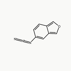 [N-]=[N+]=Nc1ccc2cocc2c1